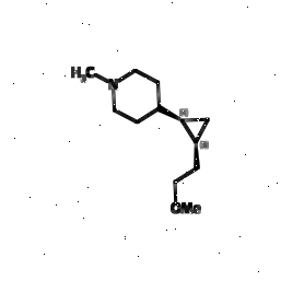 COCC[C@@H]1C[C@@H]1C1CCN(C)CC1